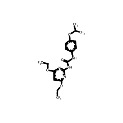 CC(Oc1ccc(NC(=O)Nc2nc(OCC(F)(F)F)cc(OCC(F)(F)F)n2)cc1)C(F)(F)F